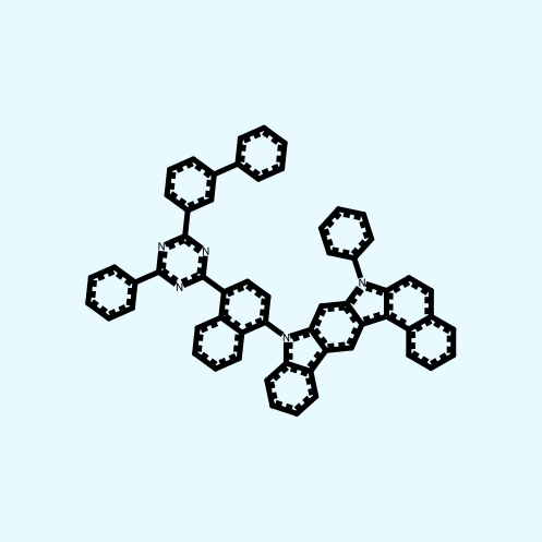 c1ccc(-c2cccc(-c3nc(-c4ccccc4)nc(-c4ccc(-n5c6ccccc6c6cc7c8c9ccccc9ccc8n(-c8ccccc8)c7cc65)c5ccccc45)n3)c2)cc1